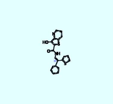 O=C(N/C=C(/c1ccccc1)c1cccs1)c1sc2cccnc2c1O